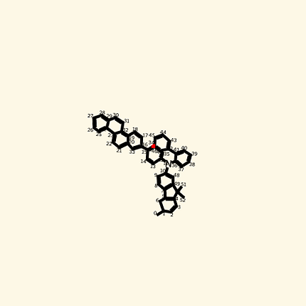 CC1C=CC2=C(C1)c1ccc(N(c3ccc(-c4ccc5c(ccc6c7ccccc7ccc56)c4)cc3)c3ccccc3-c3ccccc3)cc1C2(C)C